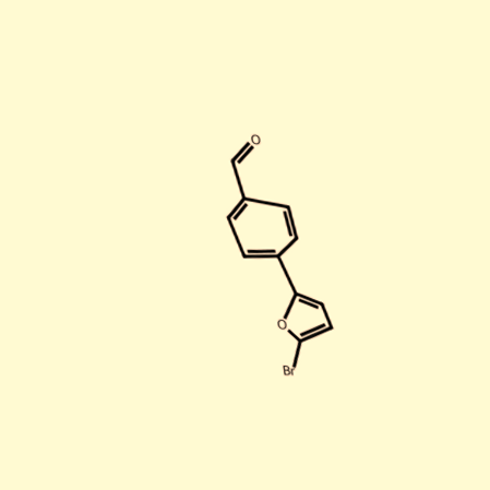 O=Cc1ccc(-c2ccc(Br)o2)cc1